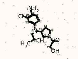 CC(C)CN(c1ccc(N)c(Cl)c1)C1CCN(C(=O)CO)C1